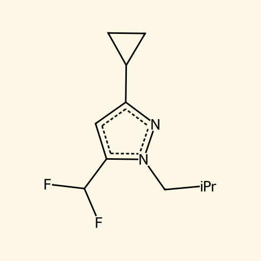 CC(C)Cn1nc(C2CC2)cc1C(F)F